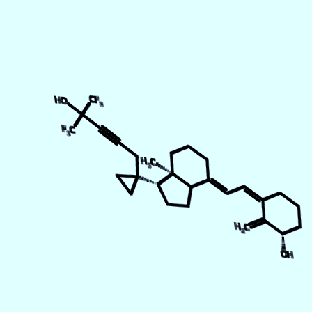 C=C1/C(=C\C=C2/CCC[C@@]3(C)C2CC[C@@H]3C2(CC#CC(O)(C(F)(F)F)C(F)(F)F)CC2)CCC[C@@H]1O